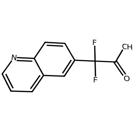 CC(=O)C(F)(F)c1ccc2ncccc2c1